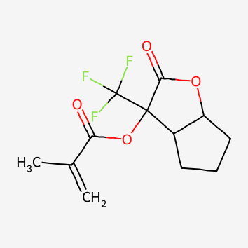 C=C(C)C(=O)OC1(C(F)(F)F)C(=O)OC2CCCC21